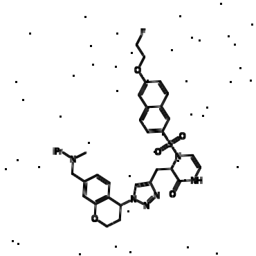 CC(C)N(C)Cc1ccc2c(c1)OCCC2n1cc(CC2C(=O)NC=CN2S(=O)(=O)c2ccc3cc(OCCF)ccc3c2)nn1